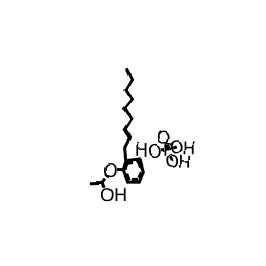 CCCCCCCCCc1ccccc1OC(C)O.O=P(O)(O)O